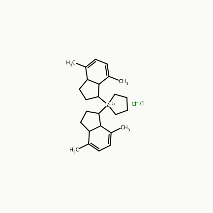 CC1=CC=C(C)C2C1CC[CH]2[Zr+2]1([CH]2CCC3C(C)=CC=C(C)C32)[CH2]CC[CH2]1.[Cl-].[Cl-]